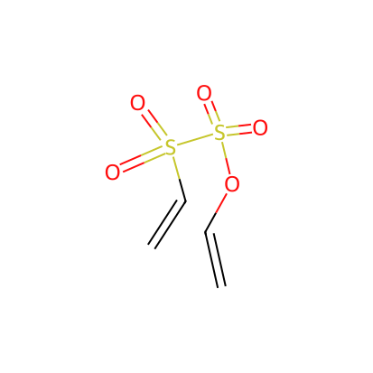 C=COS(=O)(=O)S(=O)(=O)C=C